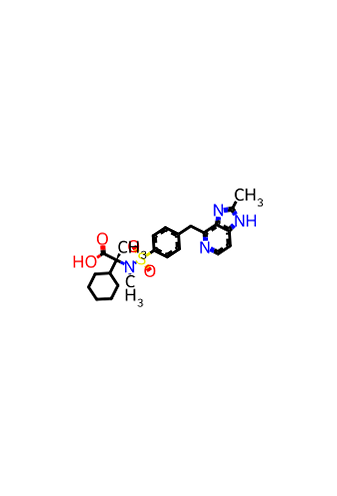 Cc1nc2c(Cc3ccc(S(=O)(=O)N(C)[C@@](C)(C(=O)O)C4CCCCC4)cc3)nccc2[nH]1